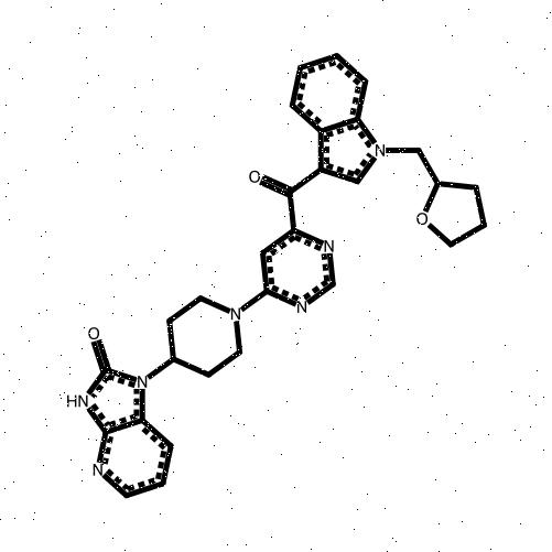 O=C(c1cc(N2CCC(n3c(=O)[nH]c4ncccc43)CC2)ncn1)c1cn(CC2CCCO2)c2ccccc12